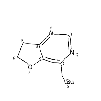 CC(C)(C)c1ncnc2c1OCC2